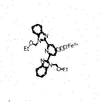 CCOCn1c(-c2cccc(-c3nc4ccccc4n3COCC)n2)nc2ccccc21.[Cl-].[Cl-].[Cl-].[Fe+3]